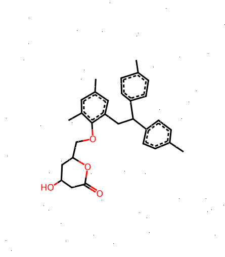 Cc1ccc(C(Cc2cc(C)cc(C)c2OCC2CC(O)CC(=O)O2)c2ccc(C)cc2)cc1